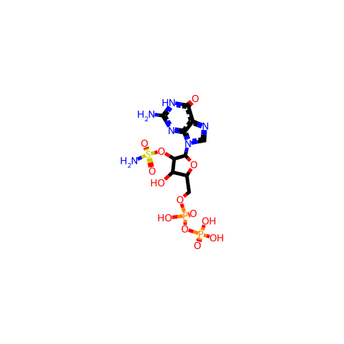 Nc1nc2c(ncn2C2OC(COP(=O)(O)OP(=O)(O)O)C(O)C2OS(N)(=O)=O)c(=O)[nH]1